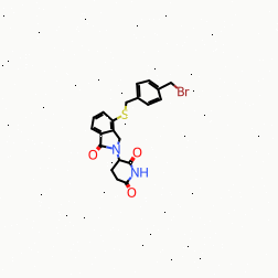 O=C1CCC(N2Cc3c(SCc4ccc(CBr)cc4)cccc3C2=O)C(=O)N1